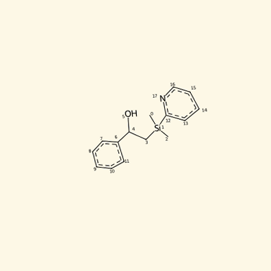 C[Si](C)(CC(O)c1ccccc1)c1ccccn1